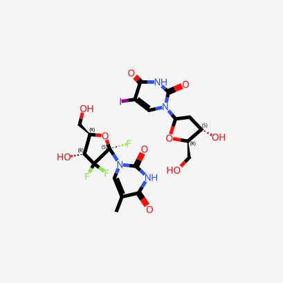 Cc1cn([C@]2(F)O[C@H](CO)[C@@H](O)C2(F)F)c(=O)[nH]c1=O.O=c1[nH]c(=O)n(C2C[C@H](O)[C@@H](CO)O2)cc1I